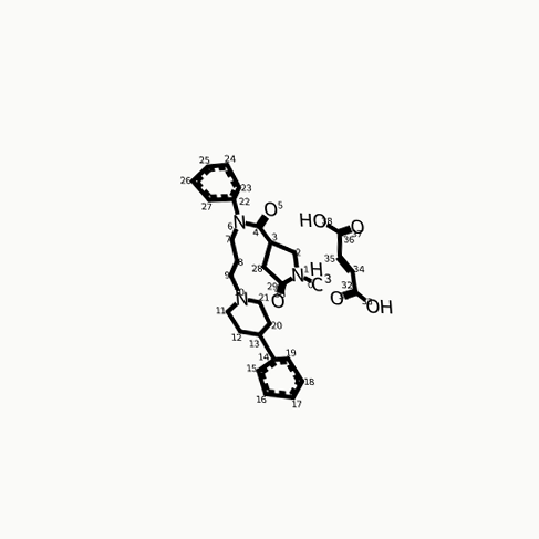 CN1CC(C(=O)N(CCCN2CCC(c3ccccc3)CC2)c2ccccc2)CC1=O.O=C(O)C=CC(=O)O